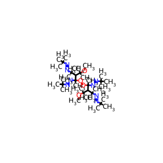 COC(C)(C)C(C(C)(C)/N=N/C(C)(C)C)C(C)(/N=N/C(C)(C)C)OOC(C)(/N=N/C(C)(C)C)C(C(C)(C)/N=N/C(C)(C)C)C(C)(C)OC